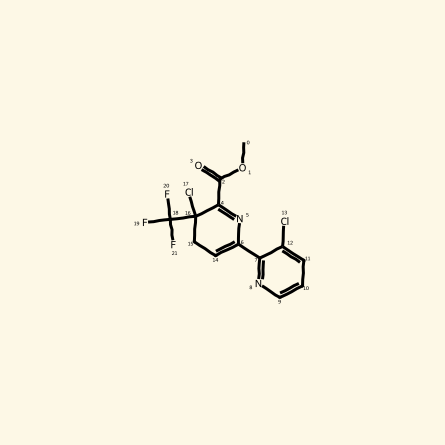 COC(=O)C1=NC(c2ncccc2Cl)=CCC1(Cl)C(F)(F)F